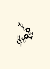 CC(C)OCCOc1cccc(Nc2ccc(C(=O)N=C3NCCCN3)cc2C2CC2)c1